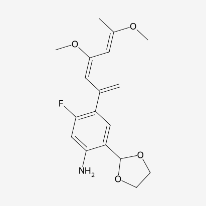 C=C(/C=C(\C=C(/C)OC)OC)c1cc(C2OCCO2)c(N)cc1F